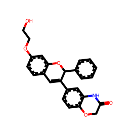 O=C1COc2ccc(C3=Cc4ccc(OCCO)cc4OC3c3ccccc3)cc2N1